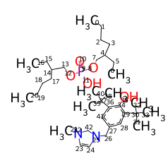 CCCCC(CC)COP(=O)(O)OCC(CC)CCCC.CN1C=CN(Cc2cc(C(C)(C)C)c(O)c(C(C)(C)C)c2)C1